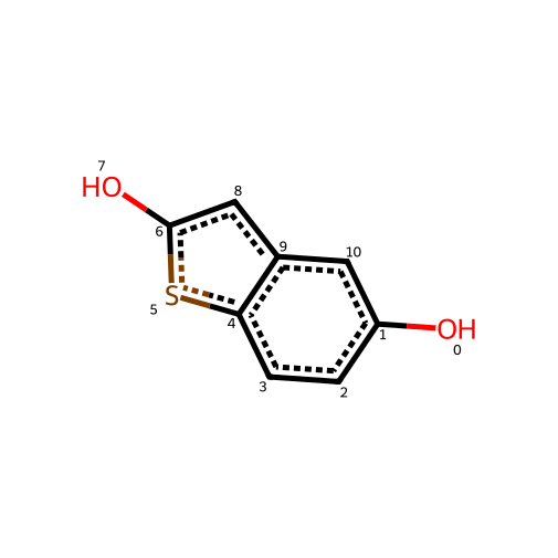 Oc1ccc2sc(O)cc2c1